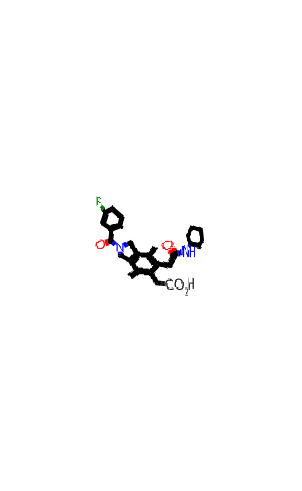 Cc1c(CC(=O)O)c(CC(=O)NC2CCCCC2)c(C)c2c1CN(C(=O)c1cccc(F)c1)C2